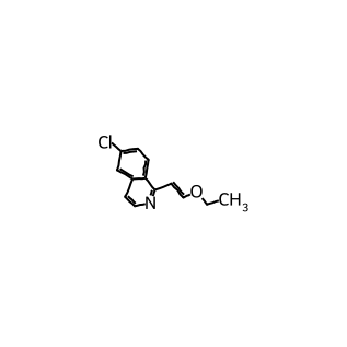 CCO/C=C/c1nccc2cc(Cl)ccc12